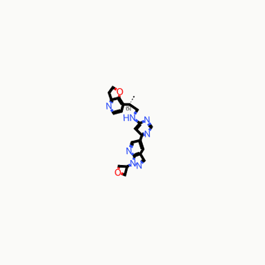 C[C@H](CNc1cc(-c2cnc3c(cnn3C3COC3)c2)ncn1)c1ccnc2c1OCC2